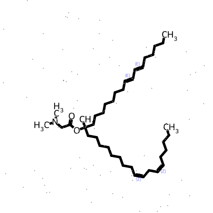 CCCCC/C=C\C/C=C\CCCCCCCCC(C)(CCCCCCC/C=C/C=C/CCCCC)OC(=O)CN(C)C